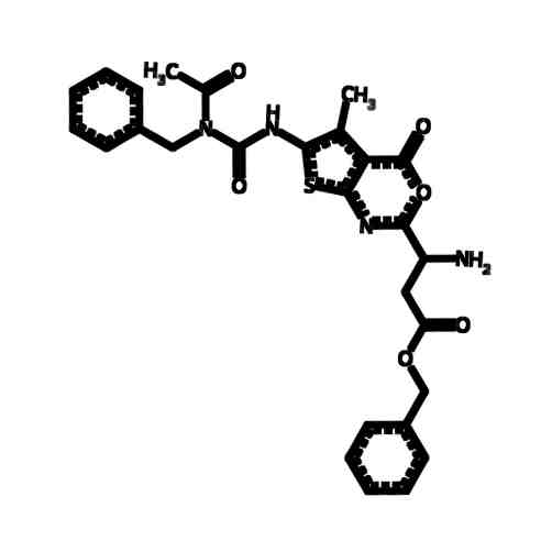 CC(=O)N(Cc1ccccc1)C(=O)Nc1sc2nc(C(N)CC(=O)OCc3ccccc3)oc(=O)c2c1C